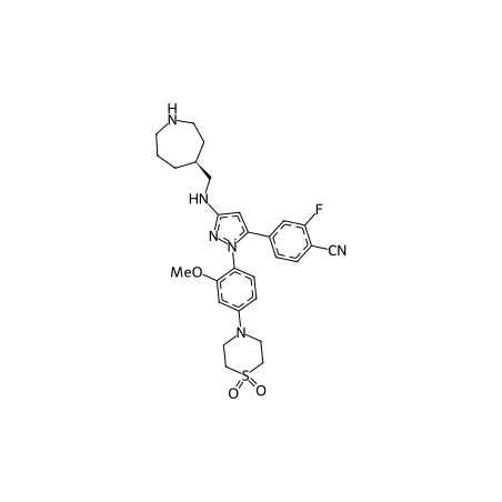 COc1cc(N2CCS(=O)(=O)CC2)ccc1-n1nc(NC[C@H]2CCCNCC2)cc1-c1ccc(C#N)c(F)c1